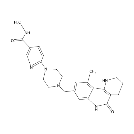 CNC(=O)c1ccc(N2CCN(Cc3cc(C)c4c5c(c(=O)[nH]c4c3)CCCN5)CC2)nc1